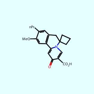 CCCc1cc2c(cc1OC)-c1cc(=O)c(C(=O)O)cn1C1(CCC1)C2